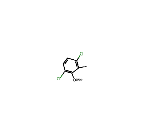 COc1c(Cl)ccc(Cl)c1C